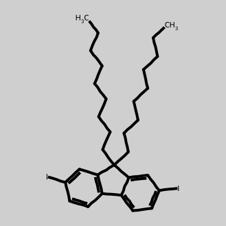 CCCCCCCCCC1(CCCCCCCCC)c2cc(I)ccc2-c2ccc(I)cc21